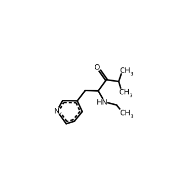 CCNC(Cc1cccnc1)C(=O)C(C)C